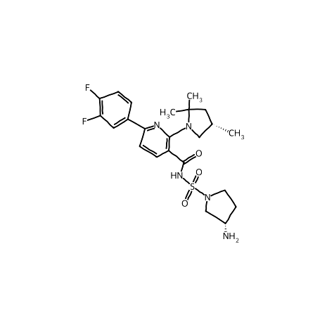 C[C@@H]1CN(c2nc(-c3ccc(F)c(F)c3)ccc2C(=O)NS(=O)(=O)N2CC[C@H](N)C2)C(C)(C)C1